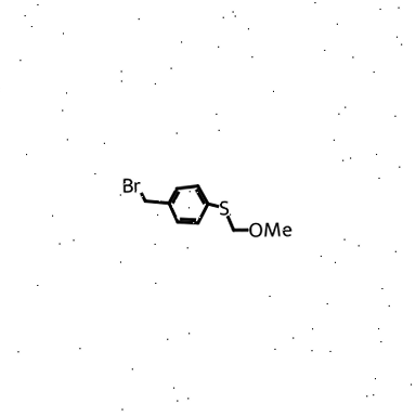 COCSc1ccc(CBr)cc1